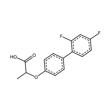 CC(Oc1ccc(-c2ccc(F)cc2F)cc1)C(=O)O